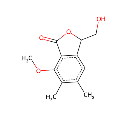 COc1c(C)c(C)cc2c1C(=O)OC2CO